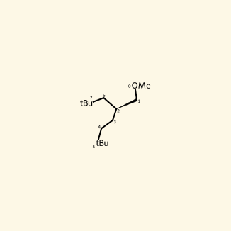 COC[C@@H](CCC(C)(C)C)CC(C)(C)C